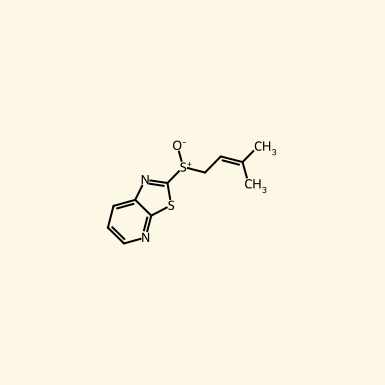 CC(C)=CC[S+]([O-])c1nc2cccnc2s1